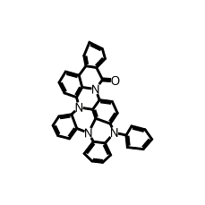 O=c1c2ccccc2c2cccc3c2n1c1ccc2c4c1n3c1ccccc1n4c1ccccc1n2-c1ccccc1